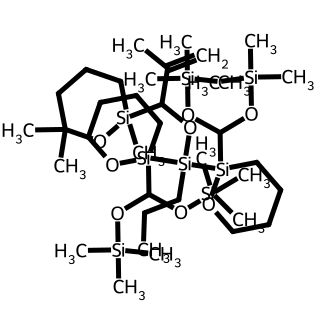 C=C(C)C(O[Si](CCC)([Si]1(C(O[Si](C)(C)C)O[Si](C)(C)C)CCCCO1)[Si]1(C(O[Si](C)(C)C)O[Si](C)(C)C)CCCCO1)[Si]1(C)CCCC(C)(C)O1